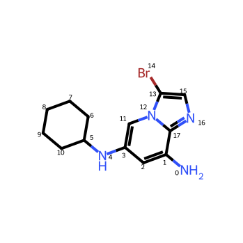 Nc1cc(NC2CCCCC2)cn2c(Br)cnc12